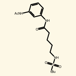 CC(=O)Nc1cccc(NC(=O)CCCCNS(=O)(=O)C(C)(C)C)c1